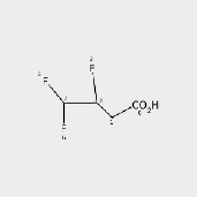 O=C(O)CC(F)C(F)F